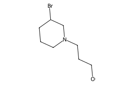 [O]CCCN1CCCC(Br)C1